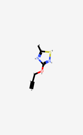 C#CCOc1nsc(C)n1